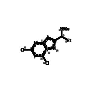 CCC(NC)c1cc2nc(Cl)cc(Cl)n2n1